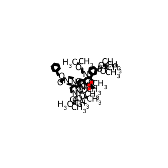 CO[C@@H](C)c1ncc(N2CCN(C(=O)OCc3ccccc3)CC2)cc1-c1c(CC2(COC(=O)[C@@H]3CCCN(C(=O)OC(C)(C)C)N3C(=O)OC(C)(C)C)CC2)c2cc(B3OC(C)(C)C(C)(C)O3)ccc2n1CCOC(C)C